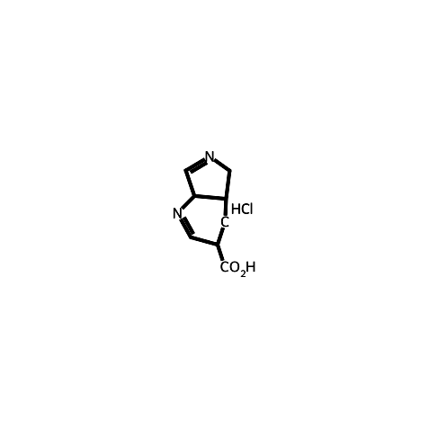 Cl.O=C(O)C1C=NC2C=NCC2C1